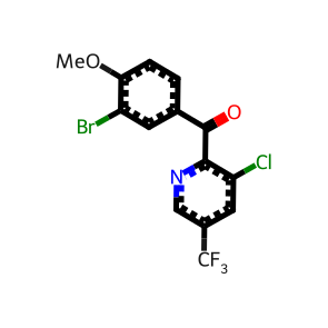 COc1ccc(C(=O)c2ncc(C(F)(F)F)cc2Cl)cc1Br